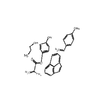 C1=Cc2cccc3cccc1c23.C=C(C)C(=O)Oc1ccc(O)cc1.C=Cc1ccc(OC)cc1.OCCS